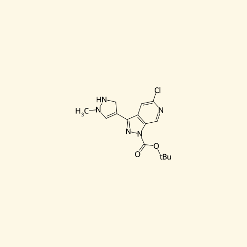 CN1C=C(c2nn(C(=O)OC(C)(C)C)c3cnc(Cl)cc23)CN1